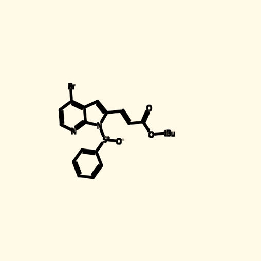 CC(C)(C)OC(=O)/C=C/c1cc2c(Br)ccnc2n1[S+]([O-])c1ccccc1